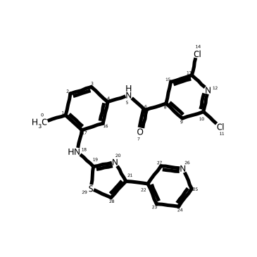 Cc1ccc(NC(=O)c2cc(Cl)nc(Cl)c2)cc1Nc1nc(-c2cccnc2)cs1